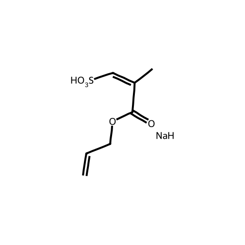 C=CCOC(=O)C(C)=CS(=O)(=O)O.[NaH]